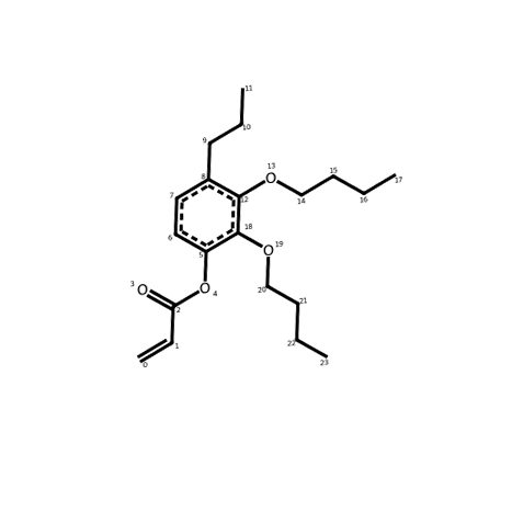 C=CC(=O)Oc1ccc(CCC)c(OCCCC)c1OCCCC